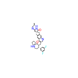 C=C/C=N\C1=C[C@@]2(Cc3cc4cc(CC5C(=O)C6(CCCC6)NCC[C@H]5c5cc(F)cc(F)c5)cnc4cc3C2)C(=O)N1